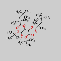 CC(C)(C)CC(C)(C)C(=O)OC(C(=O)OC(C)(C)C)C(OC(=O)C(C)(C)CC(C)(C)C)C(=O)OC(C)(C)C